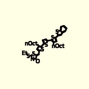 CCCCCCCCc1cc(/C=C2\SC(SCC)=NC2=O)sc1-c1ccc(-c2sc(-c3cc4ccccc4s3)cc2CCCCCCCC)s1